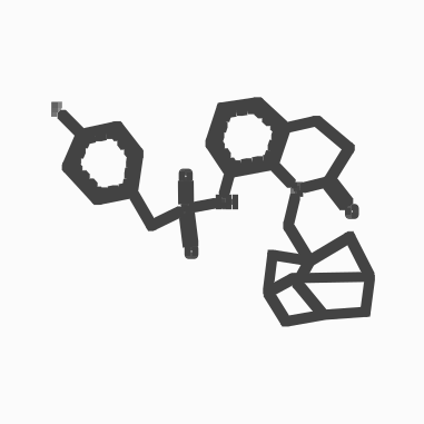 O=C1CCc2cccc(NS(=O)(=O)Cc3ccc(F)cc3)c2N1CC12CC3CC(CC(C3)C1)C2